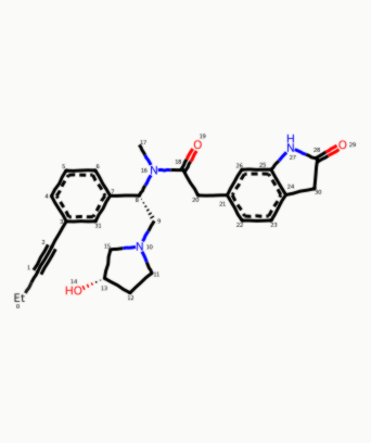 CCC#Cc1cccc([C@@H](CN2CC[C@H](O)C2)N(C)C(=O)Cc2ccc3c(c2)NC(=O)C3)c1